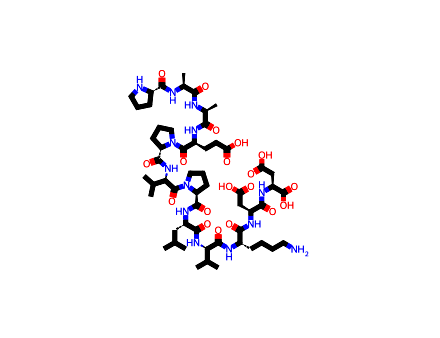 CC(C)C[C@H](NC(=O)[C@@H]1CCCN1C(=O)[C@@H](NC(=O)[C@@H]1CCCN1C(=O)[C@H](CCC(=O)O)NC(=O)[C@H](C)NC(=O)[C@H](C)NC(=O)[C@@H]1CCCN1)C(C)C)C(=O)N[C@H](C(=O)N[C@@H](CCCCN)C(=O)N[C@@H](CC(=O)O)C(=O)N[C@@H](CC(=O)O)C(=O)O)C(C)C